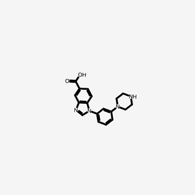 O=C(O)c1ccc2c(c1)ncn2-c1cccc(N2CCNCC2)c1